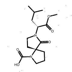 COC(=O)[C@@H](CC(C)C)N1CC[C@]2(CCCN2C(=O)O)C1=O